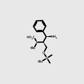 CC(C)(C)N(C(=O)O)[C@H](CO[Si](C)(C)C(C)(C)C)[C@H](N)c1ccccc1